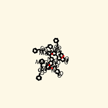 COc1cc(OP(=O)(OCc2ccccc2)OCc2ccccc2)cc(-c2cc(OP(=O)(Oc3cc(-c4cc(OC)cc(OP(=O)(OCc5ccccc5)OCc5ccccc5)c4)nc4cc5c(cc34)OCO5)Oc3cc(-c4cc(OC)cc(OP(=O)(OCc5ccccc5)OCc5ccccc5)c4)nc4cc5c(cc34)OCO5)c3cc4c(cc3n2)OCO4)c1